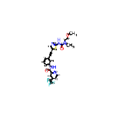 COCCN(C)C(=O)Nc1ncc(C#Cc2cccc(NC(=O)c3cc(C(F)(F)F)ccn3)c2)s1